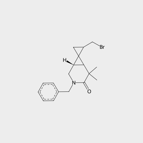 CC1(C)C(=O)N(Cc2ccccc2)C[C@H]2C1C21CC1CBr